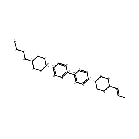 CC=C[C@H]1CC[C@H](c2ccc(-c3ccc([C@H]4CC[C@H](CCCF)CC4)cc3)cc2)CC1